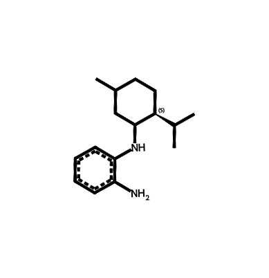 CC1CC[C@@H](C(C)C)C(Nc2ccccc2N)C1